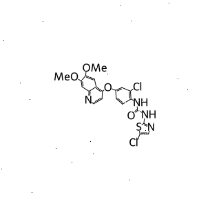 COc1cc2nccc(Oc3ccc(NC(=O)Nc4ncc(Cl)s4)c(Cl)c3)c2cc1OC